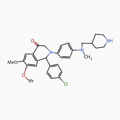 COc1cc2c(cc1OC(C)C)C(c1ccc(Cl)cc1)N(c1ccc(N(C)CC3CCNCC3)cc1)CC2=O